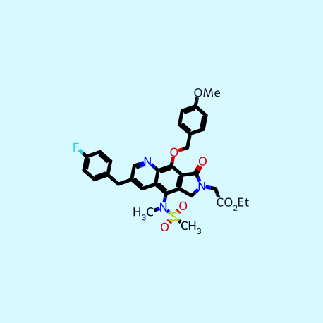 CCOC(=O)CN1Cc2c(c(OCc3ccc(OC)cc3)c3ncc(Cc4ccc(F)cc4)cc3c2N(C)S(C)(=O)=O)C1=O